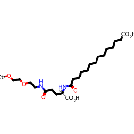 CCOCCOCCNC(=O)CC[C@H](NC(=O)CCCCCCCCCCCCC(=O)O)C(=O)O